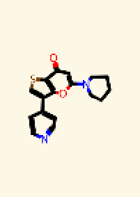 O=c1cc(N2CCCCC2)oc2c(-c3ccncc3)csc12